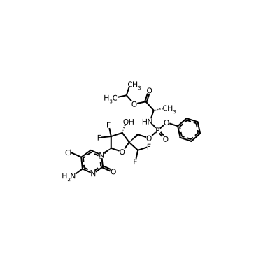 CC(C)OC(=O)[C@H](C)NP(=O)(OC[C@@]1(C(F)F)O[C@@H](n2cc(Cl)c(N)nc2=O)C(F)(F)[C@@H]1O)Oc1ccccc1